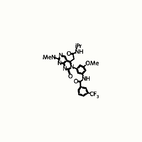 CNc1ncc2c(CC(=O)NC(C)C)n(-c3cc(NC(=O)c4cccc(C(F)(F)F)c4)cc(OC)c3)c(=O)nc2n1